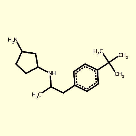 CC(Cc1ccc(C(C)(C)C)cc1)NC1CCC(N)C1